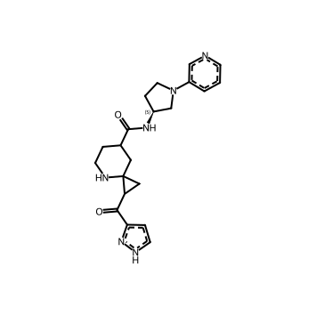 O=C(N[C@H]1CCN(c2cccnc2)C1)C1CCNC2(C1)CC2C(=O)c1cc[nH]n1